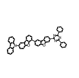 c1ccc(-c2nc(-c3ccccc3)nc(-c3ccc4c(c3)oc3ccc(-c5cccc6c5oc5ccc(-n7c8ccccc8c8ccccc87)cc56)cc34)n2)cc1